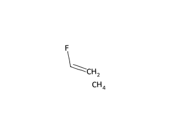 C.C=CF